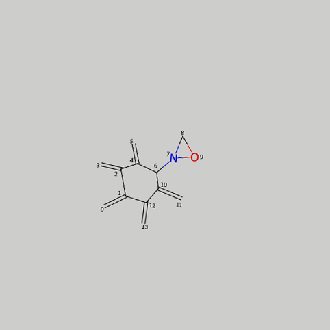 C=C1C(=C)C(=C)C(N2CO2)C(=C)C1=C